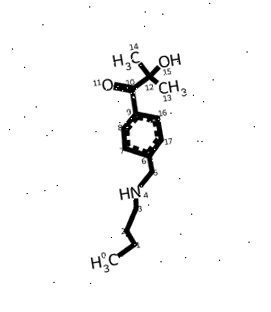 CCCCNCc1ccc(C(=O)C(C)(C)O)cc1